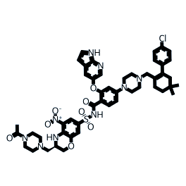 CC(=O)N1CCN(C[C@@H]2COc3cc(S(=O)(=O)NC(=O)c4ccc(N5CCN(CC6=C(c7ccc(Cl)cc7)CC(C)(C)CC6)CC5)cc4Oc4cnc5[nH]ccc5c4)cc([N+](=O)[O-])c3N2)CC1